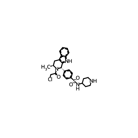 C[C@H]1Cc2c([nH]c3ccccc23)[C@H](c2ccc(S(=O)(=O)NC3CCNCC3)cc2)N1C(=O)CCl